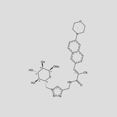 CO[C@H]1O[C@H](Cn2cc(CNC(=O)/C(C#N)=C/c3ccc4cc(N5CCOCC5)ccc4c3)nn2)[C@@H](O)[C@H](O)[C@H]1O